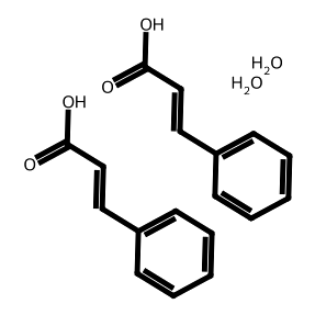 O.O.O=C(O)C=Cc1ccccc1.O=C(O)C=Cc1ccccc1